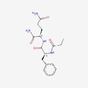 CCC(=O)N[C@@H](Cc1ccccc1)C(=O)N[C@H](CCC(N)=O)C(N)=O